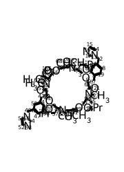 CC(C)C[C@H]1C(=O)O[C@H](Cc2ccc(Cn3ccnc3)cc2)C(=O)N(C)[C@@H](CC(C)C)C(=O)O[C@H](C)C(=O)N(C)[C@@H](CC(C)C)C(=O)O[C@H](Cc2cccc(Cn3ccnc3)c2)C(=O)N(C)[C@@H]([C@@H](C)C(C)C)C(=O)O[C@H](C)C(=O)N1C